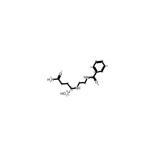 NC(=O)CC[C@H](NCCNC(=O)c1ccccc1)C(=O)O